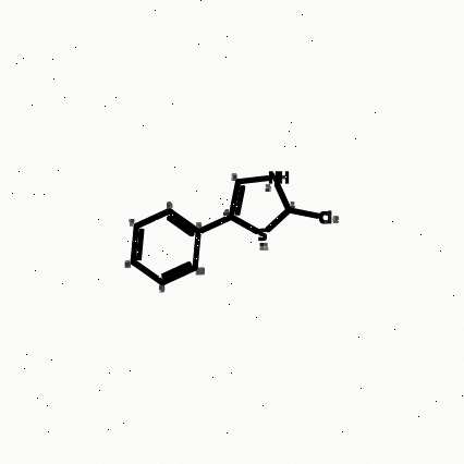 ClC1NC=C(c2ccccc2)S1